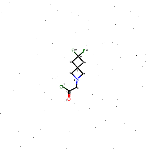 O=C(Cl)CN1CC2(C1)CC(F)(F)C2